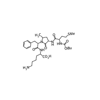 CSCCC(NC(=O)OCC(C)C)C(=O)NC1CC(C)N(C(Cc2ccccc2)C(=O)NC(CCCCN)C(=O)O)C1=O